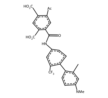 CNc1ccc(-c2ccc(NC(=O)c3cc(C(C)=O)c(C(=O)O)cc3C(=O)O)cc2C(F)(F)F)c(C)c1